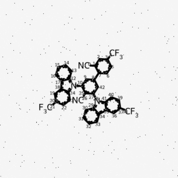 N#Cc1cc(C(F)(F)F)ccc1-c1cc(-n2c3ccccc3c3cc(C(F)(F)F)ccc32)c(C#N)c(-n2c3ccccc3c3cc(C(F)(F)F)ccc32)c1